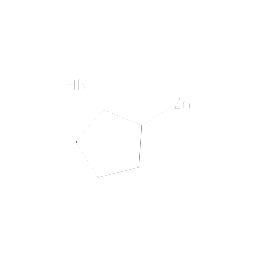 Br.[Zn][CH]1CCCC1